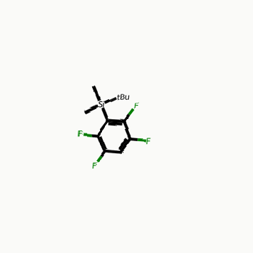 CC(C)(C)[Si](C)(C)c1c(F)c(F)[c]c(F)c1F